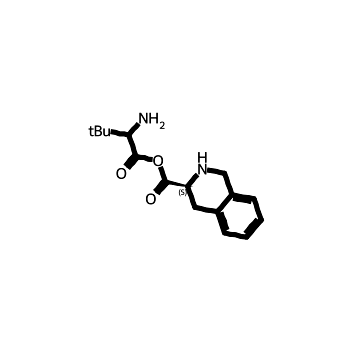 CC(C)(C)C(N)C(=O)OC(=O)[C@@H]1Cc2ccccc2CN1